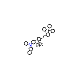 CCC1(CC)c2cc(/C=C/c3cccc4c3-c3ccccc3C4(c3ccccc3)c3ccccc3)ccc2-c2ccc(N(c3ccccc3)c3ccc4ccccc4c3)cc21